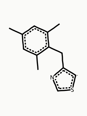 Cc1cc(C)c(Cc2[c]scn2)c(C)c1